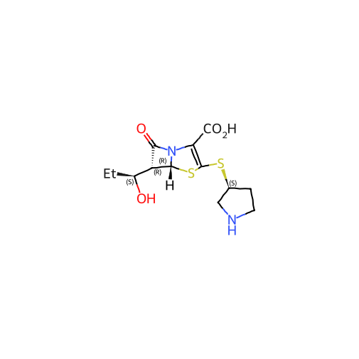 CC[C@H](O)[C@@H]1C(=O)N2C(C(=O)O)=C(S[C@H]3CCNC3)S[C@H]12